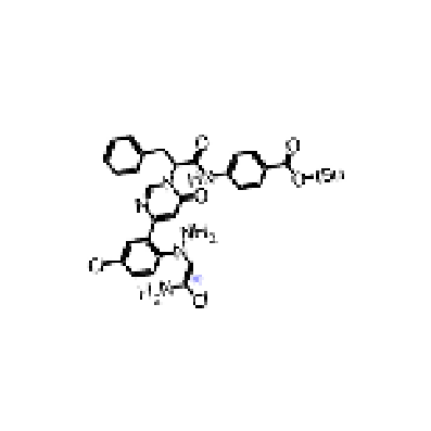 CC(C)(C)OC(=O)c1ccc(NC(=O)C(Cc2ccccc2)n2cnc(-c3cc(Cl)ccc3N(N)/C=C(\N)Cl)cc2=O)cc1